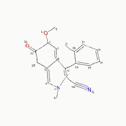 COC1C=C2C(=CN(C)C(C#N)=C2c2ccccc2C)CC1=O